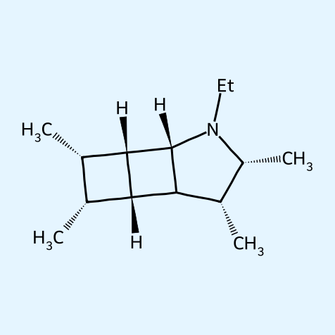 CCN1[C@H](C)[C@H](C)C2[C@@H]3[C@H](C)[C@H](C)[C@@H]3[C@@H]21